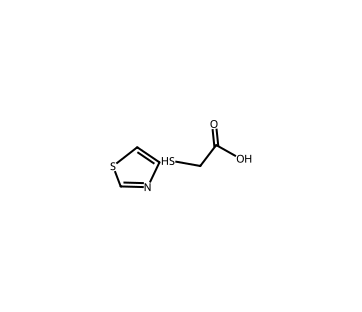 O=C(O)CS.c1cscn1